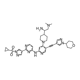 CN(C)CC(N)C1CCN(c2cc(Nc3ccnc(-c4cnn(S(=O)(=O)C5CC5)c4)n3)ncc2C#Cc2cnn(C3CCOCC3)c2)CC1